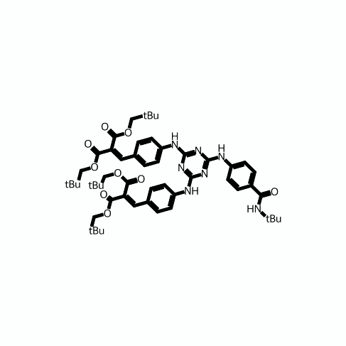 CC(C)(C)COC(=O)C(=Cc1ccc(Nc2nc(Nc3ccc(C=C(C(=O)OCC(C)(C)C)C(=O)OCC(C)(C)C)cc3)nc(Nc3ccc(C(=O)NC(C)(C)C)cc3)n2)cc1)C(=O)OCC(C)(C)C